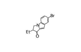 CCC1Cn2c(cc3cc(Br)ccc32)C1=O